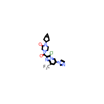 O=C(c1nc2c(C(F)(F)F)cc(-n3ccnc3)cn2c1Cl)N1CCN(C2CC3CC3C2)C(=O)C1